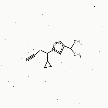 CC(C)c1ccn(C(CC#N)C2CC2)c1